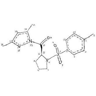 Cc1ccc(S(=O)(=O)N2CCC[C@H]2C(=O)n2nc(C)cc2C)cc1